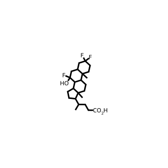 CC(CCC(=O)O)C1CCC2C3C(CCC12C)C1(C)CCC(F)(F)CC1CC3(O)F